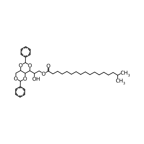 CC(C)CCCCCCCCCCCCCCC(=O)OCC(O)C1OC(c2ccccc2)OC2COC(c3ccccc3)OC21